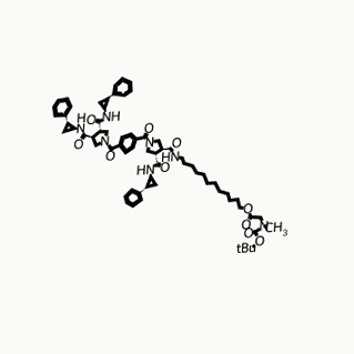 CN(CC(=O)OCCCCCCCCCCCCNC(=O)[C@@H]1CN(C(=O)c2ccc(C(=O)N3C[C@@H](C(=O)N[C@H]4C[C@@H]4c4ccccc4)[C@H](C(=O)N[C@H]4C[C@@H]4c4ccccc4)C3)cc2)C[C@H]1C(=O)N[C@H]1C[C@@H]1c1ccccc1)C(=O)OC(C)(C)C